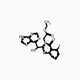 CCOC(=O)Cn1c(C(S)c2ncnc3[nH]cnc23)nc2cccc(F)c2c1=O